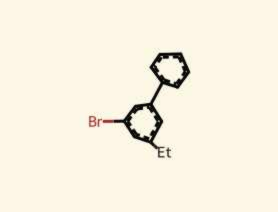 CCc1cc(Br)cc(-c2ccccc2)c1